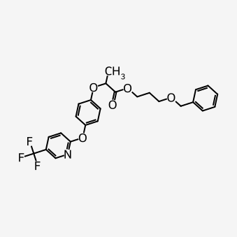 CC(Oc1ccc(Oc2ccc(C(F)(F)F)cn2)cc1)C(=O)OCCCOCc1ccccc1